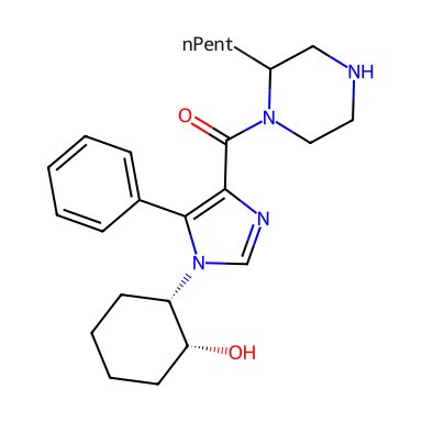 CCCCCC1CNCCN1C(=O)c1ncn([C@H]2CCCC[C@H]2O)c1-c1ccccc1